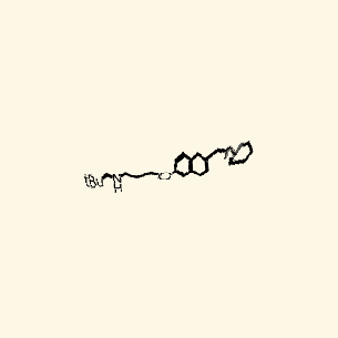 CC(C)(C)CNCCCOc1ccc2c(c1)CCC(CN1CCCC1)C2